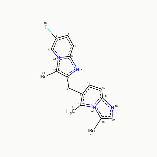 Cc1c(Cc2nc3ccc(F)cn3c2C(C)(C)C)ccc2ncc(C(C)(C)C)n12